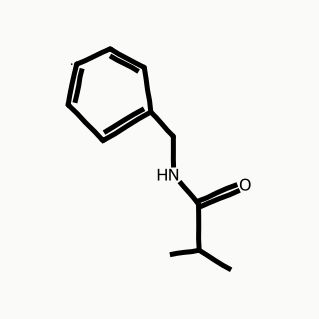 CC(C)C(=O)NCc1cc[c]cc1